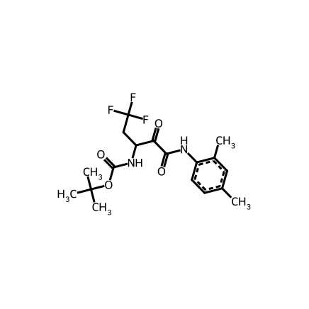 Cc1ccc(NC(=O)C(=O)C(CC(F)(F)F)NC(=O)OC(C)(C)C)c(C)c1